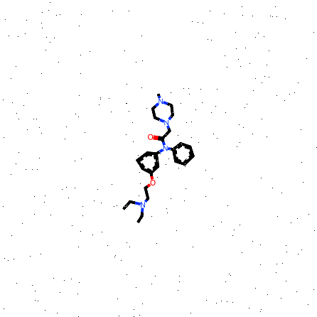 CCN(CC)CCOc1cccc(N(C(=O)CN2CCN(C)CC2)c2ccccc2)c1